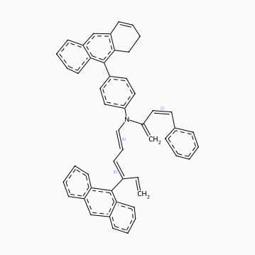 C=C/C(=C\C=C\N(C(=C)/C=C\c1ccccc1)c1ccc(-c2c3c(cc4ccccc24)C=CCC3)cc1)c1c2ccccc2cc2ccccc12